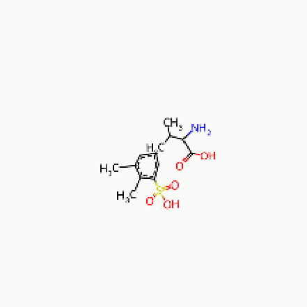 CC(C)C(N)C(=O)O.Cc1cccc(S(=O)(=O)O)c1C